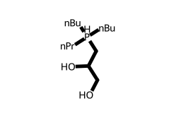 CCCC[PH](CCC)(CCCC)CC(O)CO